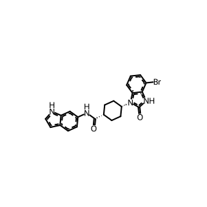 O=c1[nH]c2c(Br)cccc2n1[C@H]1CC[C@@H](C(=O)Nc2ccc3cc[nH]c3c2)CC1